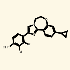 O=Cc1ccc(-c2cn3c(n2)-c2ccc(C4CC4)cc2OCC3)c(F)c1O